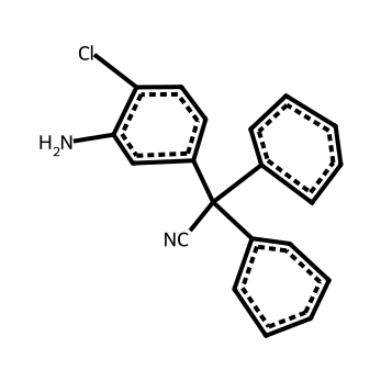 N#CC(c1ccccc1)(c1ccccc1)c1ccc(Cl)c(N)c1